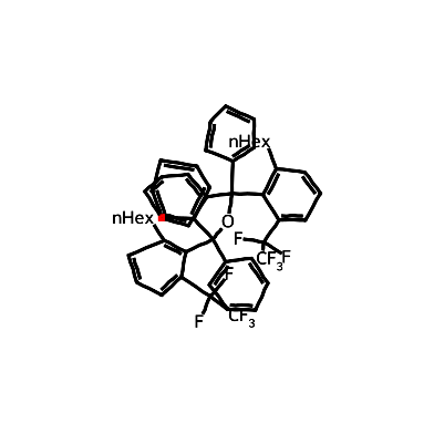 CCCCCCc1cccc(C(F)(F)C(F)(F)F)c1C(OC(c1ccccc1)(c1ccccc1)c1c(CCCCCC)cccc1C(F)(F)C(F)(F)F)(c1ccccc1)c1ccccc1